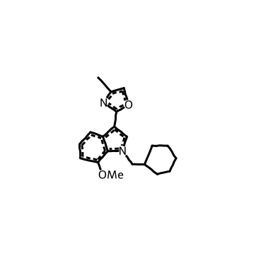 COc1cccc2c(-c3nc(C)co3)cn(CC3CCCCC3)c12